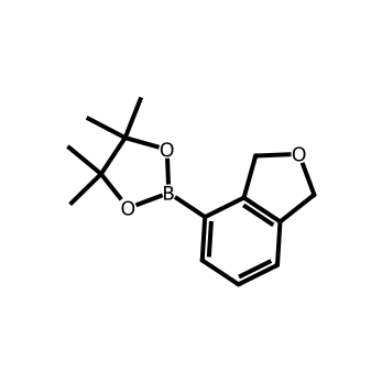 CC1(C)OB(c2cccc3c2COC3)OC1(C)C